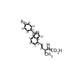 C[C@@H](/C=C/c1cccc2c1cnn2-c1ccc(F)cc1)NC(=O)O